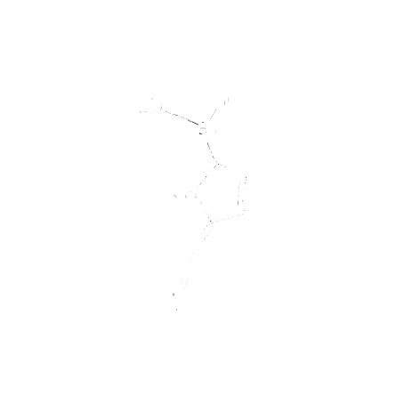 O=C=C1C=CC(B(O)O)O1